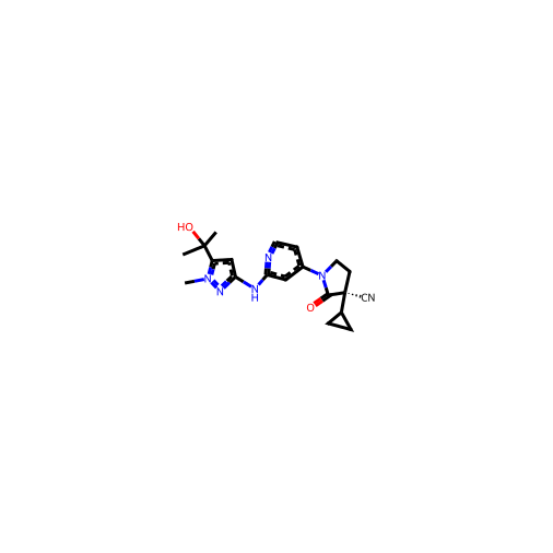 Cn1nc(Nc2cc(N3CC[C@@](C#N)(C4CC4)C3=O)ccn2)cc1C(C)(C)O